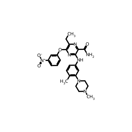 CCc1nc(C(N)=O)c(Nc2ccc(C)c(N3CCN(C)CC3)c2)nc1Oc1cccc([N+](=O)[O-])c1